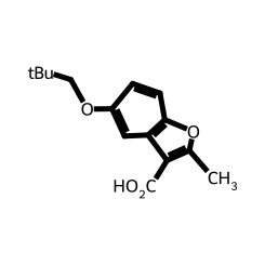 Cc1oc2ccc(OCC(C)(C)C)cc2c1C(=O)O